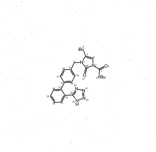 CCCCC(=O)n1cc(C(C)CC)n(Cc2ccc(-c3ccccc3-c3nnn[nH]3)cc2)c1=O